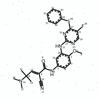 COc1ccc(NC(=O)C(C#N)=CC(C)(C)N(C)C)cc1Nc1ncc(F)c(Sc2ccccc2)n1